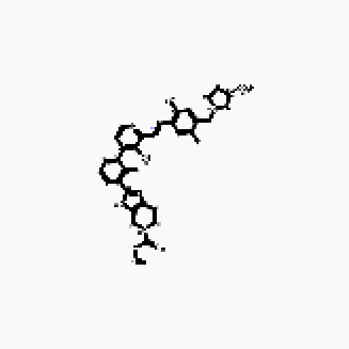 Cc1cc(/C=C/c2nccc(-c3cccc(-c4nc5c(s4)CN(C(=O)OC(C)(C)C)CC5)c3C)c2C#N)c(Cl)cc1CN1CC[C@@H](C(=O)O)C1